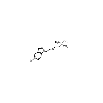 C[Si](C)(C)CCOCCn1ncc2cc(Br)ccc21